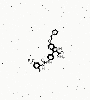 NC(=O)c1[nH]c2cc(OCCN3CCCC3)ccc2c1-c1ccc(NC(=O)Nc2cc(C(F)(F)F)ccc2F)cc1